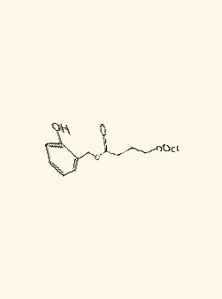 CCCCCCCCCCCC(=O)OCc1ccccc1O